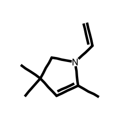 C=CN1CC(C)(C)C=C1C